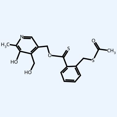 CC(=O)SCc1ccccc1C(=S)OCc1cnc(C)c(O)c1CO